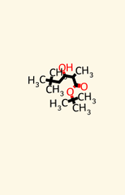 CC(C(=O)OC(C)(C)C)C(O)CC(C)(C)C